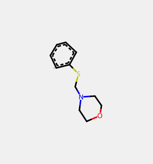 [c]1ccccc1SCN1CCOCC1